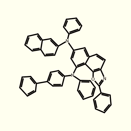 c1ccc(-c2ccc(N(c3ccccc3)c3cc(N(c4ccccc4)c4ccc5ccccc5c4)cc4ccc5nc(-c6ccccc6)oc5c34)cc2)cc1